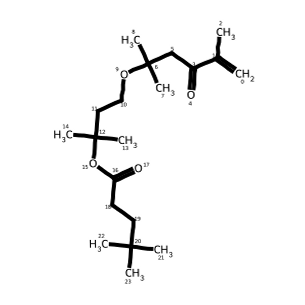 C=C(C)C(=O)CC(C)(C)OCCC(C)(C)OC(=O)CCC(C)(C)C